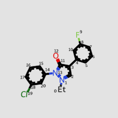 CCn1cc(-c2cccc(F)c2)c(=O)n1-c1cccc(Cl)c1